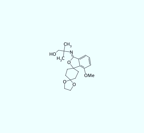 COc1cccc2c1C1(CCC3(CC1)OCCO3)O/C2=N\C(C)(C)CO